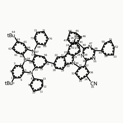 CC(C)(C)c1ccc2c(c1)N(c1ccccc1)c1cc(-c3ccc4c(c3)c3cc(C(C)(C)C)ccc3n4-c3ccc(C#N)cc3-c3nc(-c4ccccc4)nc(-c4ccccc4)n3)cc3c1B2c1ccc(C(C)(C)C)cc1N3c1ccccc1